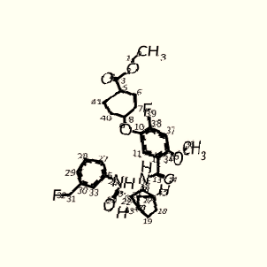 CCOC(=O)C1CCC(Oc2cc(C(=O)N[C@@H]3[C@H]4CC[C@H](C4)[C@@H]3C(=O)Nc3cccc(CF)c3)c(OC)cc2F)CC1